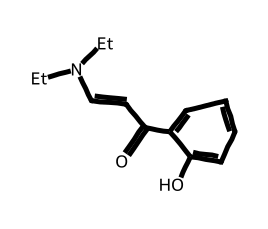 CCN(/C=C/C(=O)c1ccccc1O)CC